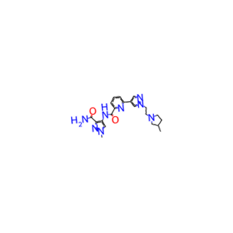 CC1CCN(CCn2cc(-c3cccc(C(=O)Nc4cn(C)nc4C(N)=O)n3)cn2)C1